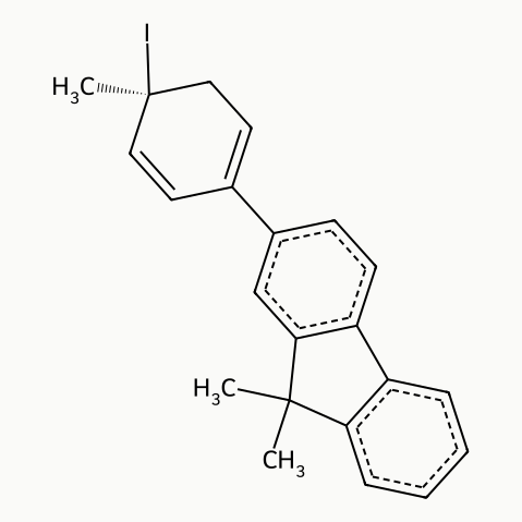 CC1(C)c2ccccc2-c2ccc(C3=CC[C@](C)(I)C=C3)cc21